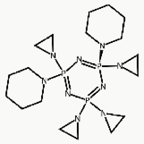 C1CCN(P2(N3CC3)=NP(N3CC3)(N3CC3)=N[P@@](N3CCCCC3)(N3CC3)=N2)CC1